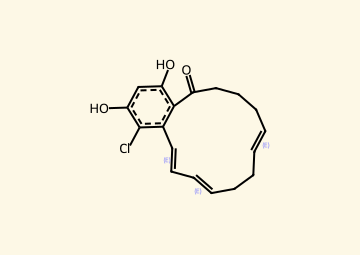 O=C1CCC/C=C/CC/C=C/C=C/c2c(Cl)c(O)cc(O)c21